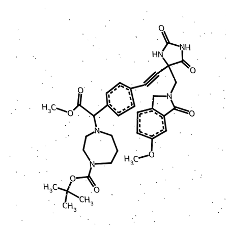 COC(=O)C(c1ccc(C#CC2(CN3Cc4ccc(OC)cc4C3=O)NC(=O)NC2=O)cc1)N1CCCN(C(=O)OC(C)(C)C)CC1